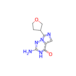 Nc1nn2c(C3CCOC3)ncc2c(=O)[nH]1